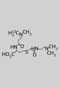 CN(C)CCNC(=O)CSCC[C@H](NC(=O)CCN(C)[13CH3])C(=O)O